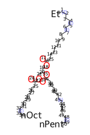 CC/C=C\C/C=C\C=C\CCCCCCCCC(=O)OCC(COC(=O)CCCCCCC/C=C\CCCCCCCC)OC(=O)CCCCC/C=C/C#CC/C=C\CCCCC